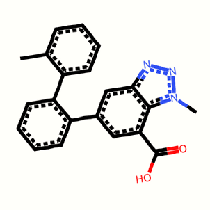 Cc1ccccc1-c1ccccc1-c1cc(C(=O)O)c2c(c1)nnn2C